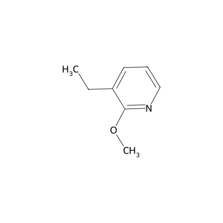 CCc1cccnc1OC